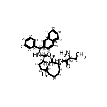 CC[C@H](N)C(=O)N[C@H]1CCCC[C@H]2CC[C@@H](C(=O)N[C@@H](c3ccccc3)c3ccc4ccccc4c3)N2C1=O